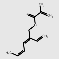 C=C/C(=C\C=C/C)COC(=O)C(=C)C